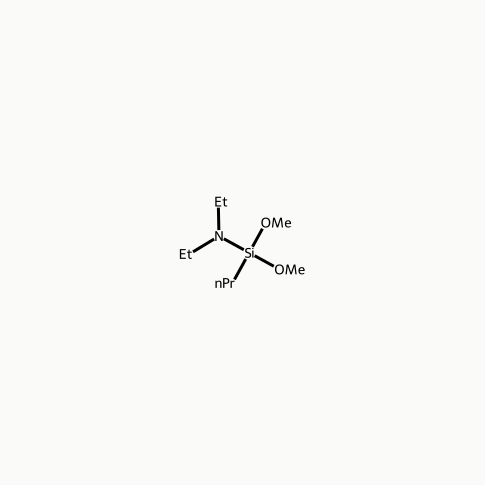 CCC[Si](OC)(OC)N(CC)CC